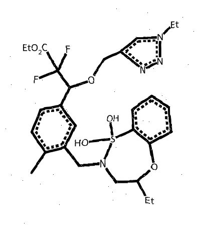 CCOC(=O)C(F)(F)C(OCc1cn(CC)nn1)c1ccc(C)c(CN2CC(CC)Oc3ccccc3S2(O)O)c1